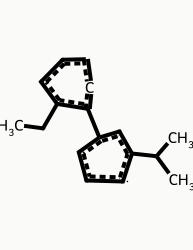 CCc1ccccc1-c1cc[c]c(C(C)C)c1